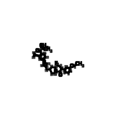 CCOc1cccc(C(CCF)C(=O)N2CCC(CC3CN(c4ccc(C(=O)N(C)C)c(C5CC5)n4)C3)CC2)c1